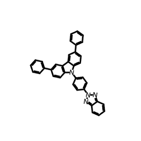 c1ccc(-c2ccc3c(c2)c2cc(-c4ccccc4)ccc2n3-c2ccc(-n3nc4ccccc4n3)cc2)cc1